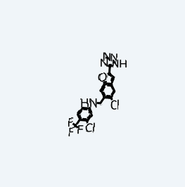 FC(F)(F)c1ccc(NCc2cc3oc(-c4nnn[nH]4)cc3cc2Cl)cc1Cl